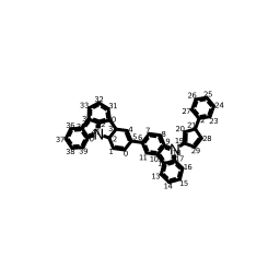 C1=CC2C(C=C1c1ccc3c(c1)c1ccccc1n3C1=CC(c3ccccc3)C=C1)c1cccc3c4ccccc4n2c13